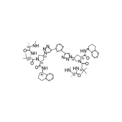 CN[C@@H](C)C(=O)N[C@H](C(=O)N1C[C@@H](n2cc(-c3cccc(-c4cn([C@H]5C[C@@H](C(=O)N[C@@H]6CCCc7ccccc76)N(C(=O)[C@@H](NC(=O)[C@H](C)NC)C(C)(C)C)C5)nn4)c3)nn2)C[C@H]1C(=O)N[C@@H]1CCCc2ccccc21)C(C)(C)C